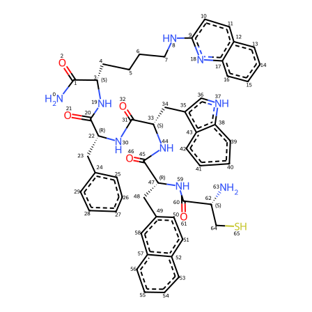 NC(=O)[C@H](CCCCNc1ccc2ccccc2n1)NC(=O)[C@@H](Cc1ccccc1)NC(=O)[C@H](Cc1c[nH]c2ccccc12)NC(=O)[C@@H](Cc1ccc2ccccc2c1)NC(=O)[C@H](N)CS